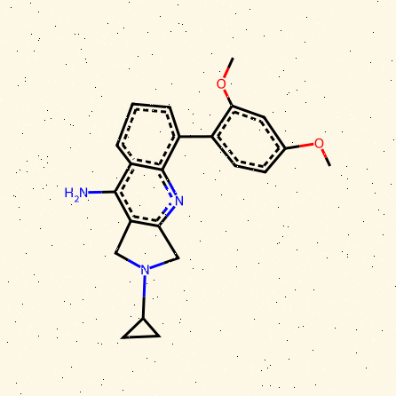 COc1ccc(-c2cccc3c(N)c4c(nc23)CN(C2CC2)C4)c(OC)c1